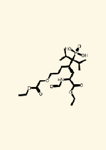 CCOC(=O)COCCCC(=CC(NC=O)C(=O)OCC)C(C(C)C)(C(C)C)P(=O)(O)O